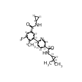 Cc1c(F)cc(C(=O)NC2CC2)cc1-c1ccc(C(=O)NC2CC2(C)C)cn1